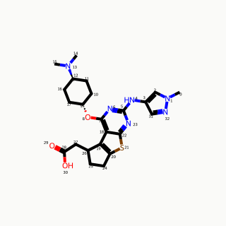 Cn1cc(Nc2nc(O[C@H]3CC[C@H](N(C)C)CC3)c3c4c(sc3n2)CCC4CC(=O)O)cn1